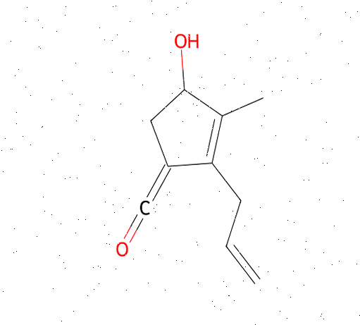 C=CCC1=C(C)C(O)CC1=C=O